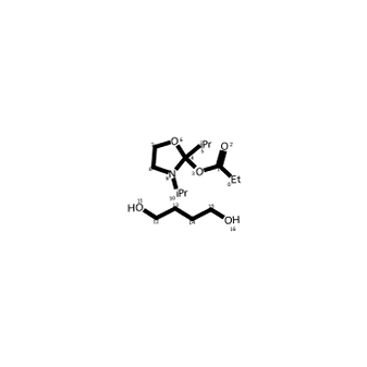 CCC(=O)OC1(C(C)C)OCCN1C(C)C.OCCCCO